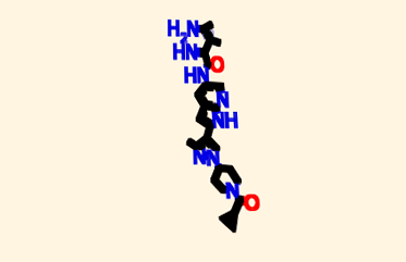 C/C(N)=C(\C)C(=N)C(=O)Nc1cnc2[nH]c(-c3cn(C4CCN(C(=O)C5CC5)CC4)nc3C)cc2c1